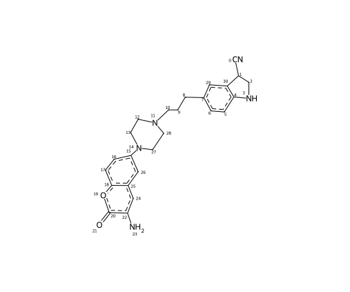 N#CC1CNc2ccc(CCCN3CCN(c4ccc5oc(=O)c(N)cc5c4)CC3)cc21